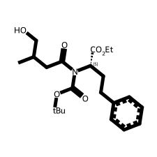 CCOC(=O)[C@H](CCc1ccccc1)N(C(=O)CC(C)CO)C(=O)OC(C)(C)C